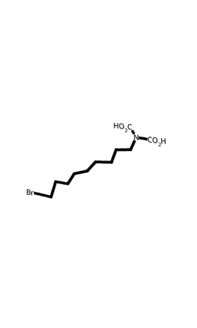 O=C(O)N(CCCCCCCCCBr)C(=O)O